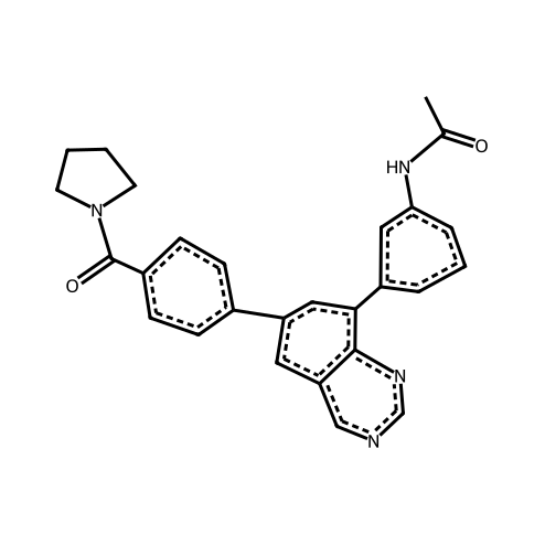 CC(=O)Nc1cccc(-c2cc(-c3ccc(C(=O)N4CCCC4)cc3)cc3cncnc23)c1